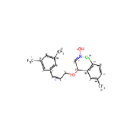 O/N=C/C(OC/C=C\c1cc(C(F)(F)F)cc(C(F)(F)F)c1)c1cc(C(F)(F)F)ccc1Cl